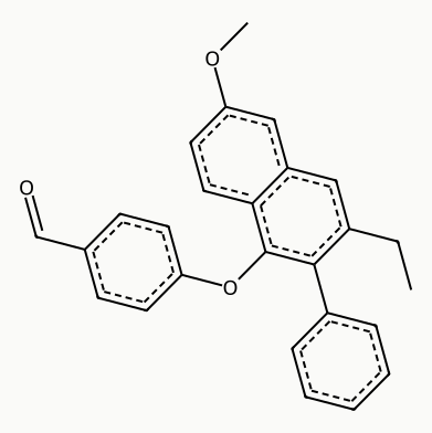 CCc1cc2cc(OC)ccc2c(Oc2ccc(C=O)cc2)c1-c1ccccc1